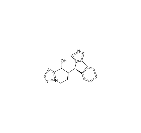 O[C@H]1c2ccnn2CC[C@@H]1[C@@H]1c2ccccc2-c2cncn21